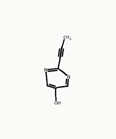 CC#Cc1ncc(O)cn1